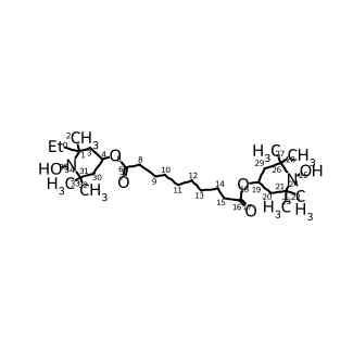 CCC1(C)CC(OC(=O)CCCCCCCCC(=O)OC2CC(C)(C)N(O)C(C)(C)C2)CC(C)(C)N1O